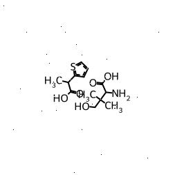 CC(C(=O)O)c1cccs1.CC(C)(CO)C(N)C(=O)O